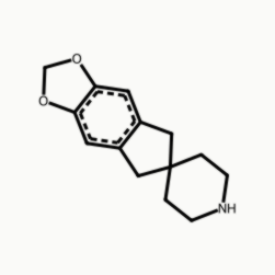 c1c2c(cc3c1OCO3)CC1(CCNCC1)C2